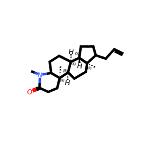 C=CCC1CC[C@H]2[C@@H]3CCC4N(C)C(=O)CC[C@]4(C)[C@@H]3CC[C@]12C